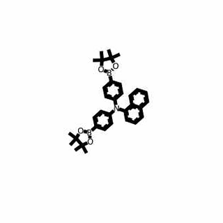 CC1(C)OB(c2ccc(N(c3ccc(B4OC(C)(C)C(C)(C)O4)cc3)c3cccc4ccccc34)cc2)OC1(C)C